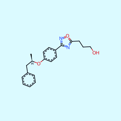 C[C@H](Cc1ccccc1)Oc1ccc(-c2noc(CCCO)n2)cc1